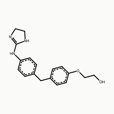 OCCOc1ccc(Cc2ccc(NC3=NCCN3)cc2)cc1